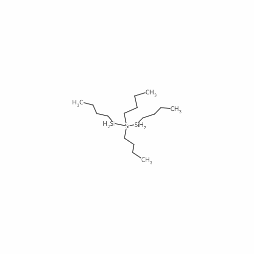 CCCC[SiH2][Si](CCCC)(CCCC)[SiH2]CCCC